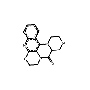 O=C1C2CNCCN2c2c3c(nc4ccccc24)OCCN13